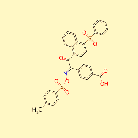 Cc1ccc(S(=O)(=O)O/N=C(/C(=O)c2ccc(S(=O)(=O)c3ccccc3)c3ccccc23)c2ccc(C(=O)O)cc2)cc1